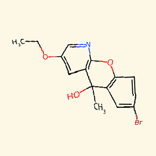 CCOc1cnc2c(c1)C(C)(O)c1cc(Br)ccc1O2